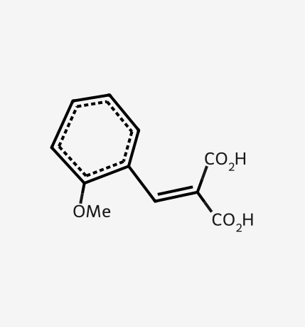 COc1ccccc1C=C(C(=O)O)C(=O)O